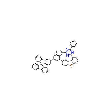 c1ccc(-c2nc(-c3ccccc3)nc(-c3cccc4sc5ccc(-c6cccc(-c7ccc8c(c7)-c7ccccc7C87c8ccccc8-c8ccccc87)c6)cc5c34)n2)cc1